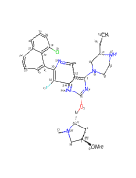 CO[C@@H]1C[C@@H](COc2nc(N3CCNC(CC#N)C3)c3cnc(-c4cccc5cccc(Cl)c45)c(F)c3n2)N(C)C1